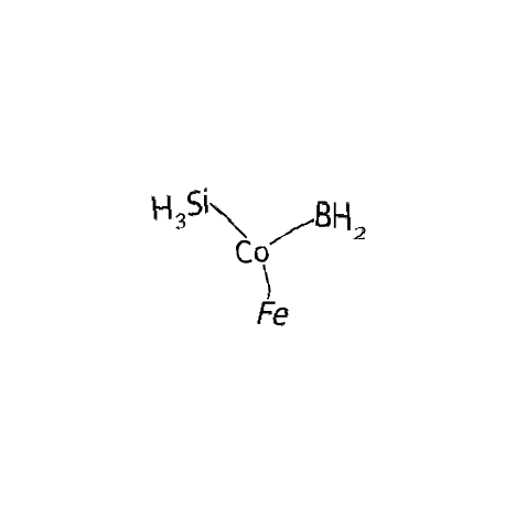 [BH2][Co]([SiH3])[Fe]